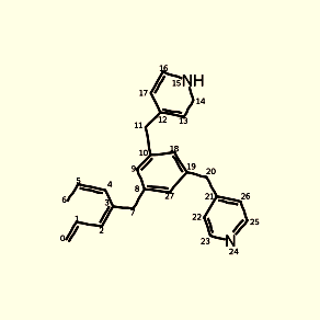 C=C/C=C(\C=C/C)Cc1cc(CC2=CCNC=C2)cc(Cc2ccncc2)c1